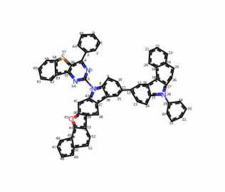 c1ccc(-c2nc(-n3c4ccc(-c5ccc6c(c5)c5c7ccccc7ccc5n6-c5ccccc5)cc4c4cc5c(cc43)oc3c4ccccc4ccc53)nc3c2sc2ccccc23)cc1